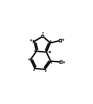 Clc1cccc2noc(Cl)c12